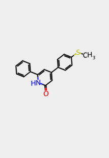 CSc1ccc(-c2cc(-c3ccccc3)[nH]c(=O)c2)cc1